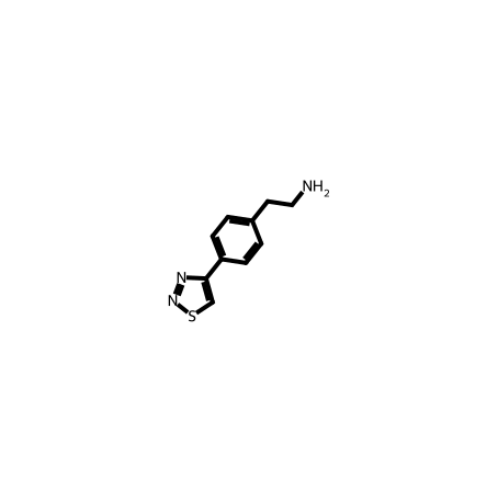 NCCc1ccc(-c2csnn2)cc1